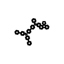 c1ccc(-c2ccc(N(c3ccc(-c4ccccc4)cc3)c3ccc(-c4ccc(N(c5ccccc5)c5ccc6c7c(ccc6c5)-c5ccccc5C75CCCC5)cc4)cc3)cc2)cc1